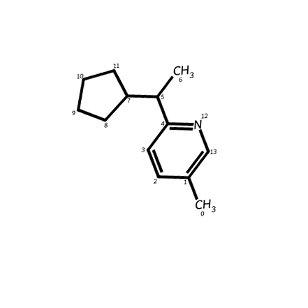 Cc1ccc(C(C)C2CCCC2)nc1